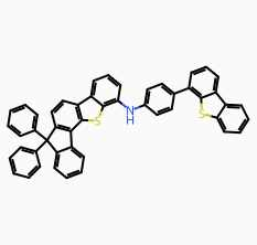 c1ccc(C2(c3ccccc3)c3ccccc3-c3c2ccc2c3sc3c(Nc4ccc(-c5cccc6c5sc5ccccc56)cc4)cccc32)cc1